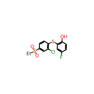 CCS(=O)(=O)c1ccc(Sc2cc(F)ccc2O)c(Cl)c1